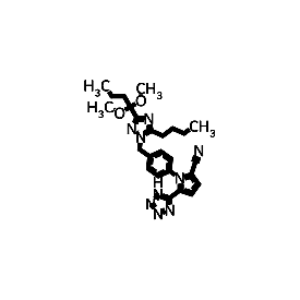 CCCCc1nc(C(CCC)(OC)OC)nn1Cc1ccc(-n2c(C#N)ccc2-c2nnn[nH]2)cc1